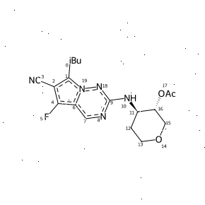 CCC(C)c1c(C#N)c(F)c2cnc(N[C@@H]3CCOC[C@H]3OC(C)=O)nn12